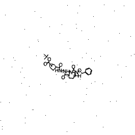 CC(C)(C)OC(=O)N1CCC(C(=O)NNC(=O)[C@@H]2CC[C@@H]3CN2C(=O)N3OCc2ccccc2)C1